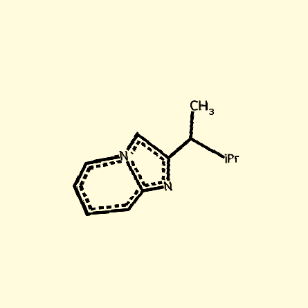 CC(C)C(C)c1cn2ccccc2n1